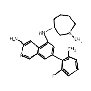 Cc1cccc(F)c1-c1cc(N[C@@H]2CCCCN(C)C2)c2cc(N)ncc2c1